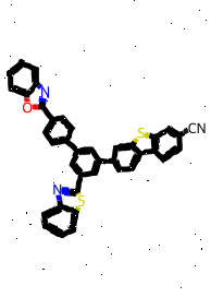 N#Cc1ccc2c(c1)sc1cc(-c3cc(-c4ccc(-c5nc6ccccc6o5)cc4)cc(-c4nc5ccccc5s4)c3)ccc12